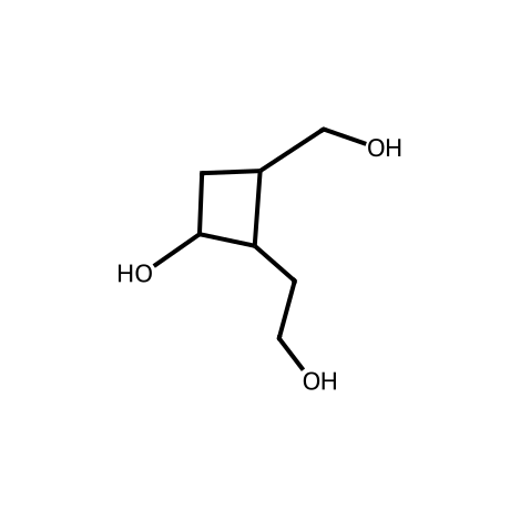 OCCC1C(O)CC1CO